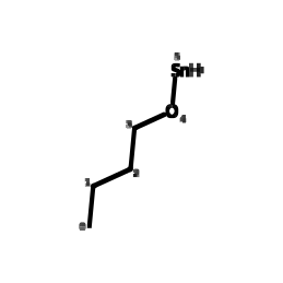 CCCC[O][SnH]